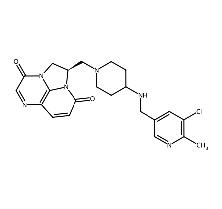 Cc1ncc(CNC2CCN(C[C@@H]3Cn4c(=O)cnc5ccc(=O)n3c54)CC2)cc1Cl